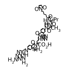 CC(C)[C@H](NC(=O)CCCCCN1C(=O)C=CC1=O)C(=O)N[C@@H](C)C(=O)Nc1ccc(C(=O)NCCC[C@H](NC(=O)c2ccc(NCc3cnc4nc(N)nc(N)c4n3)cc2N)C(=O)O)c(-c2nn[nH]n2)c1